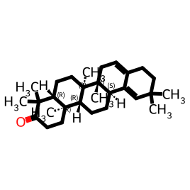 CC1(C)C=C2C(=CC[C@]3(C)[C@@H]2CC[C@@H]2[C@@]4(C)CCC(=O)C(C)(C)[C@@H]4CC[C@]23C)CC1